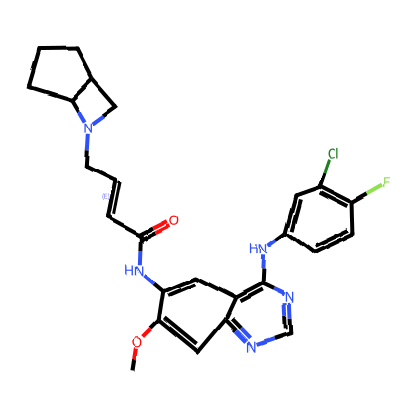 COc1cc2ncnc(Nc3ccc(F)c(Cl)c3)c2cc1NC(=O)/C=C/CN1CC2CCCC21